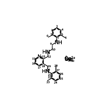 Cc1cccc(C)c1NCCNCc1ncccc1CNc1c(C)cccc1C.[Br-].[Br-].[Co+2]